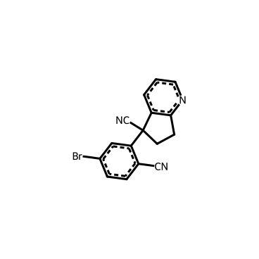 N#Cc1ccc(Br)cc1C1(C#N)CCc2ncccc21